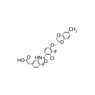 Cc1ccc2c(c1)OC[C@@H](COc1ccc(C(=O)Nc3cc(CC(=O)O)ccc3F)c(Cl)c1F)O2